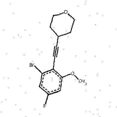 COc1cc(F)cc(Br)c1C#CC1CCOCC1